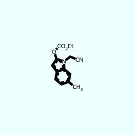 CCOC(=O)Oc1cc2ccc(C)cc2n1CC#N